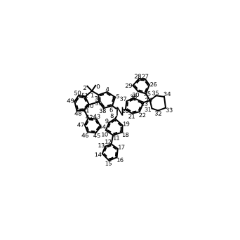 CC1(C)c2ccc(N(c3ccc(-c4ccccc4)cc3)c3ccc(C4(c5ccccc5)CCCCC4)cc3)cc2-c2c(-c3ccccc3)cccc21